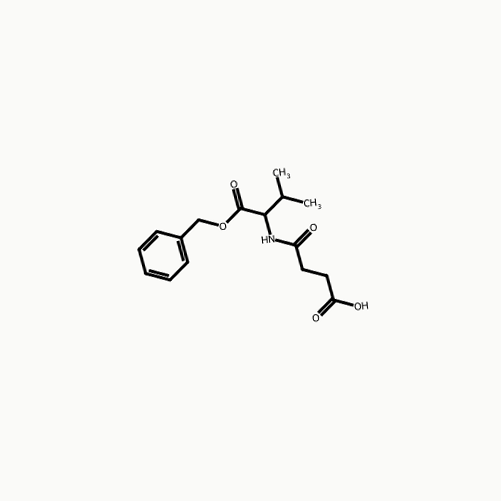 CC(C)C(NC(=O)CCC(=O)O)C(=O)OCc1ccccc1